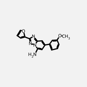 COc1cccc(-c2cc(N)n3nc(-c4ccco4)nc3c2)c1